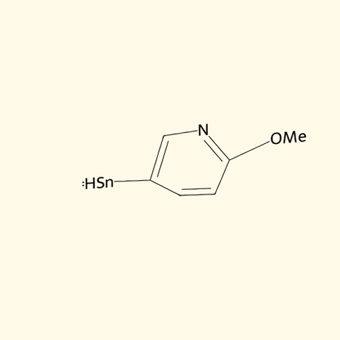 COc1cc[c]([SnH])cn1